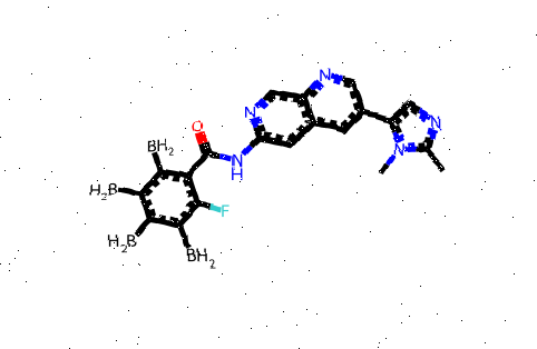 Bc1c(B)c(B)c(C(=O)Nc2cc3cc(-c4cnc(C)n4C)cnc3cn2)c(F)c1B